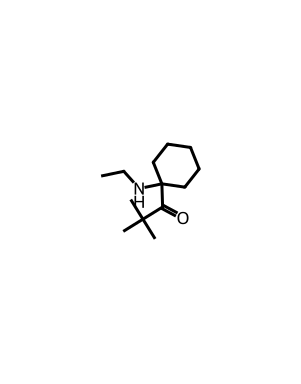 CCNC1(C(=O)C(C)(C)C)CCCCC1